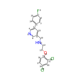 Fc1ccc(-c2cncc(CNCCOc3ccc(Cl)cc3Cl)c2)cc1